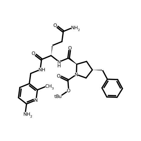 Cc1nc(N)ccc1CNC(=O)[C@H](CCC(N)=O)NC(=O)[C@H]1C[C@H](Cc2ccccc2)CN1C(=O)OC(C)(C)C